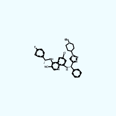 C[C@@H](Nc1c(C#N)cnc2c(N[C@@H](c3ccccc3)c3cn(C4CCN(C(C)(C)C)CC4)nn3)cc(Cl)cc12)c1ccc(F)cc1